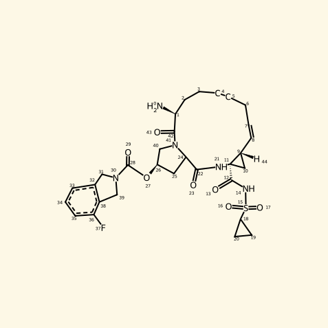 N[C@H]1CCCCC/C=C\[C@@H]2C[C@@]2(C(=O)NS(=O)(=O)C2CC2)NC(=O)C2C[C@@H](OC(=O)N3Cc4cccc(F)c4C3)CN2C1=O